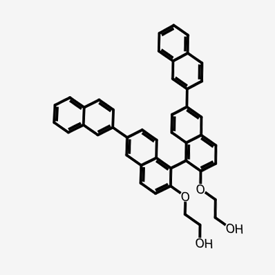 OCCOc1ccc2cc(-c3ccc4ccccc4c3)ccc2c1-c1c(OCCO)ccc2cc(-c3ccc4ccccc4c3)ccc12